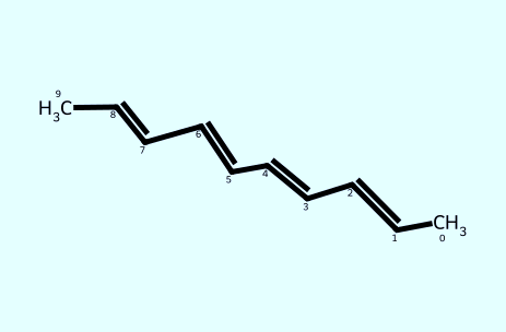 C/C=C/C=C/C=C/C=C/C